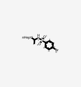 CCCCCCCC(C)NS(=O)(=O)c1ccc(Br)cc1